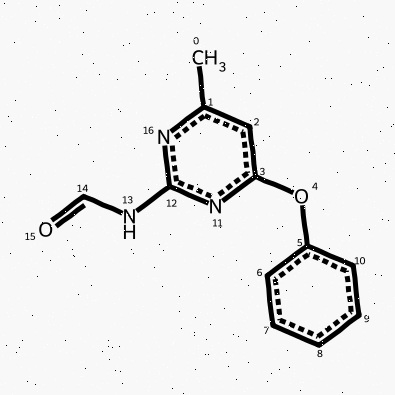 Cc1cc(Oc2ccccc2)nc(NC=O)n1